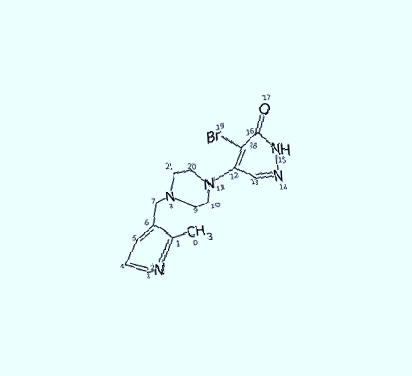 Cc1ncccc1CN1CCN(c2cn[nH]c(=O)c2Br)CC1